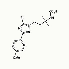 CCc1nc(-c2ccc(OC)cc2)nn1CCC(C)(C)NC(=O)O